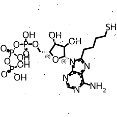 Nc1ncnc2c1nc(CCCCS)n2[C@@H]1O[C@H](COP(=O)(O)OP(=O)(O)OP(=O)(O)O)C(O)C1O